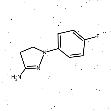 NC1=NN(c2ccc(F)cc2)CC1